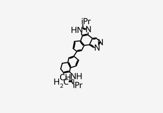 C=C(NC1=C(C)CCc2cc(-c3ccc4c(c3)c3cnncc3c3nc(C(C)C)[nH]c43)ccc21)C(C)C